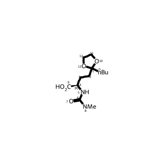 CCCCC1(CC[C@@H](NC(=O)NC)C(=O)O)OCCO1